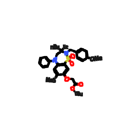 CCCCC1(CC)CN(c2ccccc2)c2cc(SC)c(OCC(=O)OC(C)(C)C)cc2S(=O)(=O)N1Cc1ccc(OC)cc1